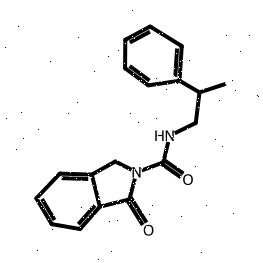 CC(CNC(=O)N1Cc2ccccc2C1=O)c1ccccc1